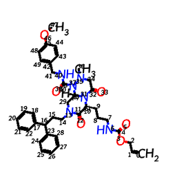 C=CCOC(=O)NCCC[C@H]1C(=O)N(CCC(c2ccccc2)c2ccccc2)C[C@H]2N1C(=O)CN(C)N2C(=O)NCc1ccc(OC)cc1